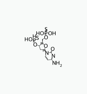 Nc1ccn([C@H]2CC(O[PH](O)=S)[C@@H](COP(O)(O)=S)O2)c(=O)n1